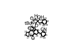 CC(C)(C)OC(=O)NC(CO)(COCc1cc(C(=O)N2CCCC2c2ccco2)cc(-c2ccccc2C#N)c1)Cc1ccccc1